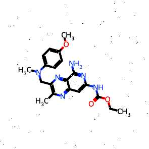 CCOC(=O)Nc1cc2nc(C)c(CN(C)c3ccc(OC)cc3)nc2c(N)n1